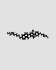 C=CCCc1ccc(-c2c(F)cc(-c3ccc4cc(CCCCCCC)ccc4c3F)cc2F)cc1